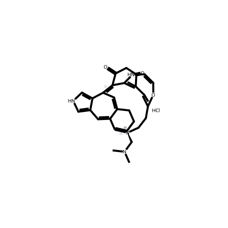 CN(C)C[C@@H]1CCC2=C/C3=C4/C(=O)CC(=O)c5cc(occ[nH]c54)CC/N=C/1C2=Cc1c[nH]cc13.Cl